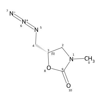 CN1C[C@@H](CN=[N+]=[N-])OC1=O